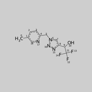 Cc1ccc(Cn2cc(C(O)C(F)(F)F)nn2)nc1